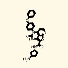 NC1CC[C@@H](NC(=O)c2sc3nccc4c3c2NC(=O)N4c2ccc(Oc3ccccc3)cc2)C1